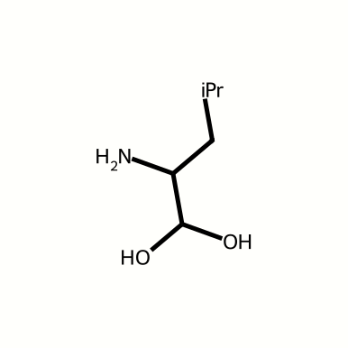 CC(C)CC(N)C(O)O